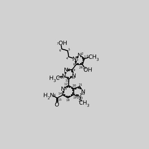 Cc1nn(CCCO)c(-c2nc(-c3nc(C(N)=O)cc4c3cnn4C)n(C)n2)c1O